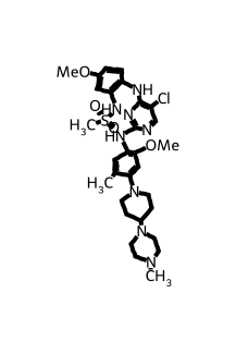 COc1ccc(Nc2nc(Nc3cc(C)c(N4CCC(N5CCN(C)CC5)CC4)cc3OC)ncc2Cl)c(NS(C)(=O)=O)c1